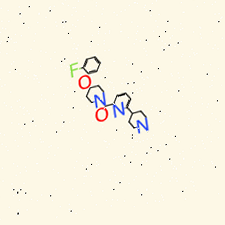 CN1CCC(c2cccc(C(=O)N3CCC(Oc4ccccc4F)CC3)n2)CC1